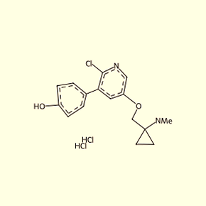 CNC1(COc2cnc(Cl)c(-c3ccc(O)cc3)c2)CC1.Cl.Cl